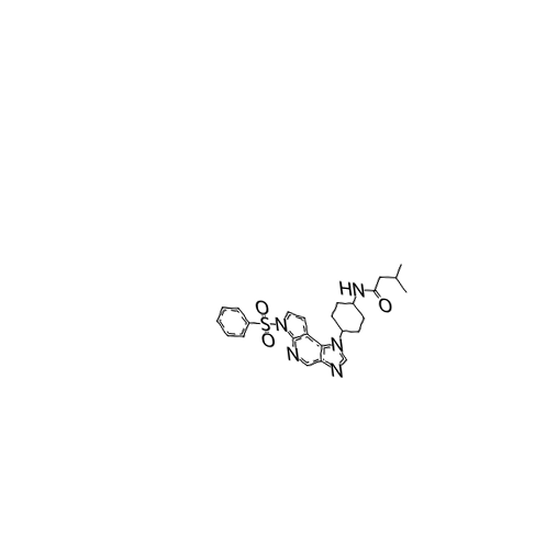 CC(C)CC(=O)NC1CCC(n2cnc3cnc4c(ccn4S(=O)(=O)c4ccccc4)c32)CC1